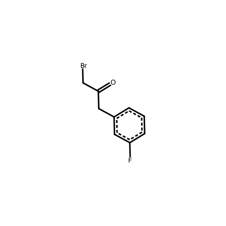 O=C(CBr)Cc1cccc(F)c1